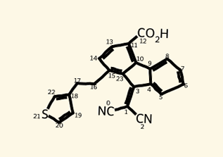 N#CC(C#N)=C1c2ccccc2-c2c(C(=O)O)ccc(CCc3ccsc3)c21